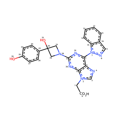 O=C(O)Cn1cnc2c(-n3ncc4ccccc43)nc(N3CC(O)(c4ccc(O)cc4)C3)nc21